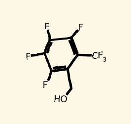 OCc1c(F)c(F)c(F)c(F)c1C(F)(F)F